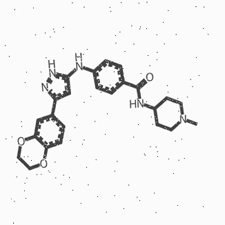 CN1CCC(NC(=O)c2ccc(Nc3cc(-c4ccc5c(c4)OCCO5)n[nH]3)cc2)CC1